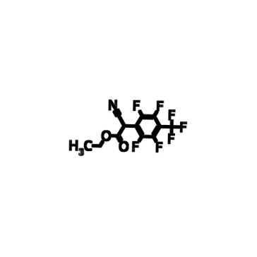 CCOC(=O)C(C#N)c1c(F)c(F)c(C(F)(F)F)c(F)c1F